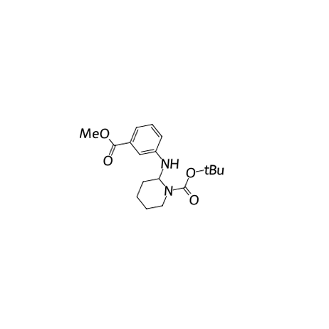 COC(=O)c1cccc(NC2CCCCN2C(=O)OC(C)(C)C)c1